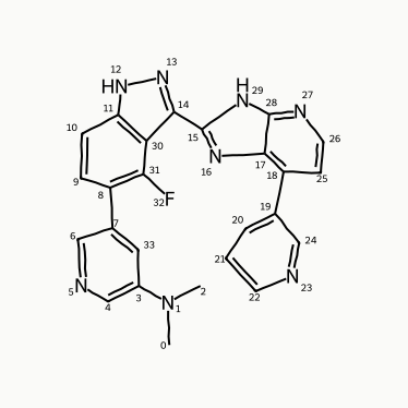 CN(C)c1cncc(-c2ccc3[nH]nc(-c4nc5c(-c6cccnc6)ccnc5[nH]4)c3c2F)c1